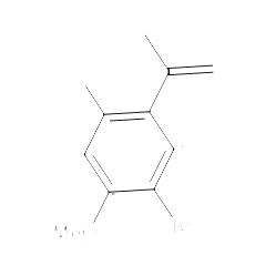 C=C(C)c1cc(Br)c(OC)cc1F